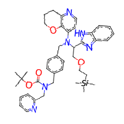 CC(C)(C)OC(=O)N(Cc1ccc(CN(c2ccnc3c2OCCC3)C(COCC[Si](C)(C)C)c2nc3ccccc3[nH]2)cc1)Cc1ccccn1